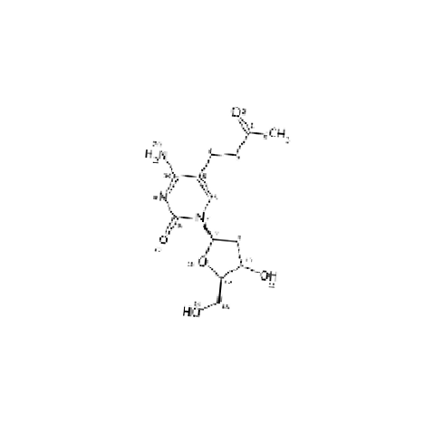 CC(=O)CCc1cn([C@H]2CC(O)[C@@H](CO)O2)c(=O)nc1N